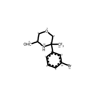 O=CC1COCC(c2cccc(Br)c2)(C(F)(F)F)N1